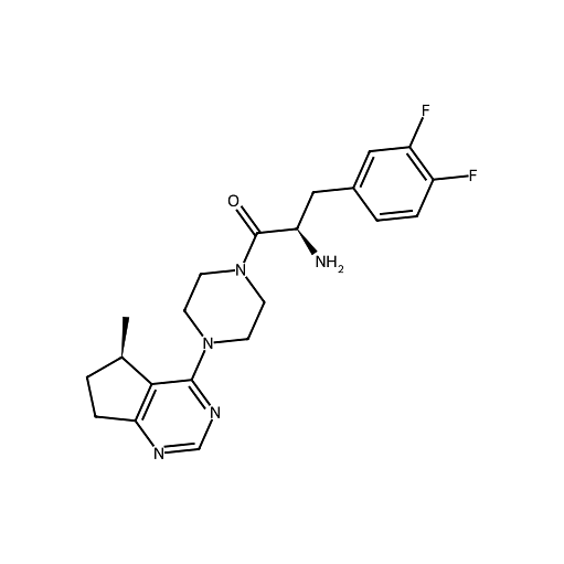 C[C@@H]1CCc2ncnc(N3CCN(C(=O)[C@H](N)Cc4ccc(F)c(F)c4)CC3)c21